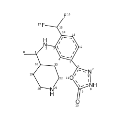 CC(Nc1cc(-c2n[nH]c(=O)o2)ccc1C(F)F)C1CCNCC1